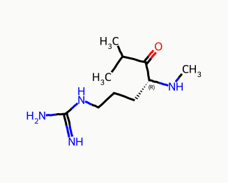 CN[C@H](CCCNC(=N)N)C(=O)C(C)C